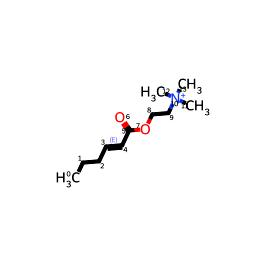 CCC/C=C/C(=O)OCC[N+](C)(C)C